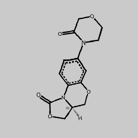 O=C1COCCN1c1ccc2c(c1)OC[C@H]1COC(=O)N21